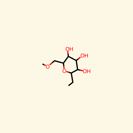 CCC1OC(COC)C(O)C(O)C1O